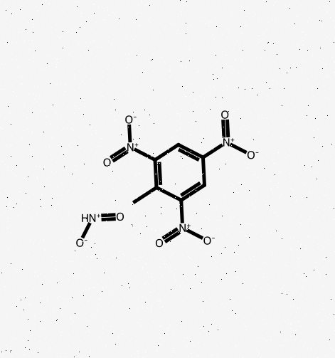 Cc1c([N+](=O)[O-])cc([N+](=O)[O-])cc1[N+](=O)[O-].O=[NH+][O-]